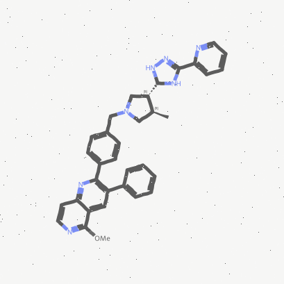 COc1nccc2nc(-c3ccc(CN4C[C@H](C5NN=C(c6ccccn6)N5)[C@@H](C)C4)cc3)c(-c3ccccc3)cc12